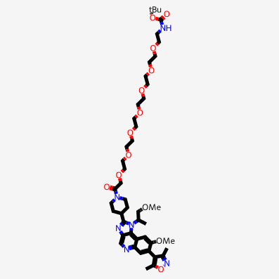 COCC(C)n1c(C2CCN(C(=O)COCCOCCOCCOCCOCCOCCOCCNC(=O)OC(C)(C)C)CC2)nc2cnc3cc(-c4c(C)noc4C)c(OC)cc3c21